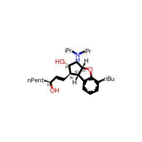 CC(C)NC(C)C.CCCCC[C@H](O)C=C[C@@H]1[C@H]2c3cccc(CCCC)c3O[C@H]2C[C@H]1O